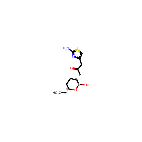 Nc1nc(CC(=O)C[C@H]2CC[C@@H](CC(=O)O)OB2O)cs1